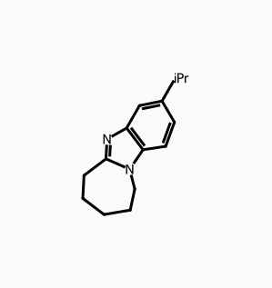 CC(C)c1ccc2c(c1)nc1n2CCCCC1